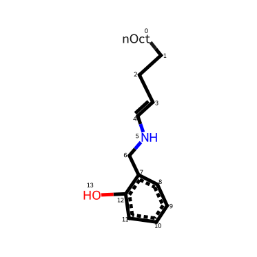 CCCCCCCCCCC=CNCc1ccccc1O